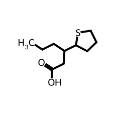 CCCC(CC(=O)O)C1CCCS1